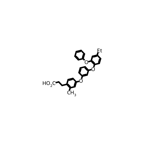 CCc1ccc(Oc2cccc(Oc3ccc(CCC(=O)O)c(C)c3)c2)c(Oc2ccccc2)c1